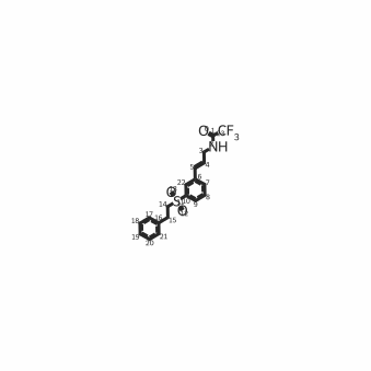 O=C(NCC=Cc1cccc(S(=O)(=O)CCc2ccccc2)c1)C(F)(F)F